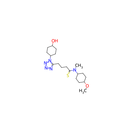 COC1CCC(N(C)C(=S)CCCc2nnnn2C2CCC(O)CC2)CC1